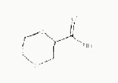 NC(=O)C1C[N]CCS1